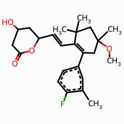 COC1(C)CC(c2ccc(F)c(C)c2)=C(C=CC2CC(O)CC(=O)O2)C(C)(C)C1